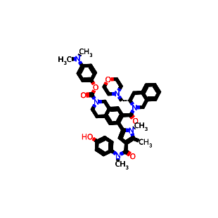 Cc1c(C(=O)N(C)c2ccc(O)cc2)cc(-c2cc3c(cc2C(=O)N2Cc4ccccc4C[C@H]2CN2CCOCC2)CN(C(=O)Oc2ccc(N(C)C)cc2)CC3)n1C